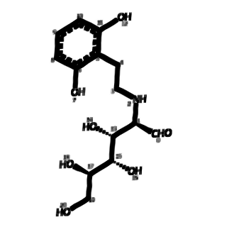 O=C[C@H](NCCc1c(O)cccc1O)[C@@H](O)[C@H](O)[C@H](O)CO